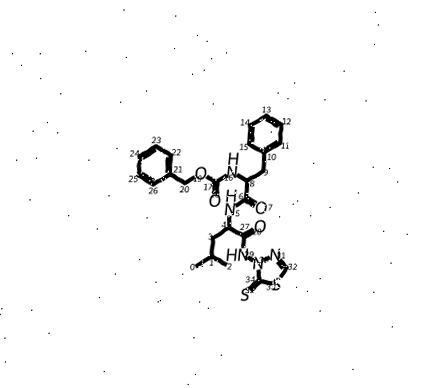 CC(C)CC(NC(=O)C(Cc1ccccc1)NC(=O)OCc1ccccc1)C(=O)Nn1ncsc1=S